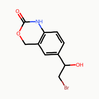 O=C1Nc2ccc(C(O)CBr)cc2CO1